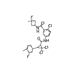 Cc1ccc(C2C(C(=O)Nc3ccc(Cl)c(C(=O)NC4CC(C)(F)C4)c3)C2(Cl)Cl)cc1F